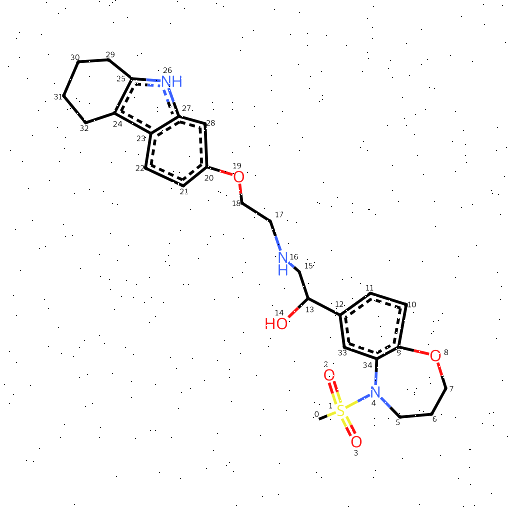 CS(=O)(=O)N1CCCOc2ccc(C(O)CNCCOc3ccc4c5c([nH]c4c3)CCCC5)cc21